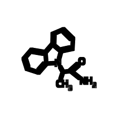 CC(C(N)=O)n1c2ccccc2c2ccccc21